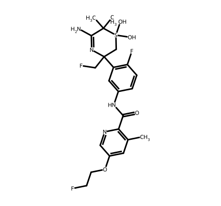 Cc1cc(OCCF)cnc1C(=O)Nc1ccc(F)c(C2(CF)CS(O)(O)C(C)(C)C(N)=N2)c1